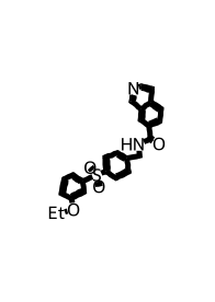 CCOc1cccc(S(=O)(=O)c2ccc(CNC(=O)c3ccc4ccncc4c3)cc2)c1